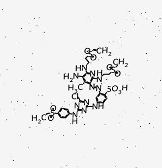 C=CS(=O)(=O)CCNc1nc(NCCS(=O)(=O)C=C)c(/N=N/c2cc(Nc3nc(Cl)nc(Nc4ccc(S(=O)(=O)C=C)cc4)n3)ccc2S(=O)(=O)O)c(C)c1N